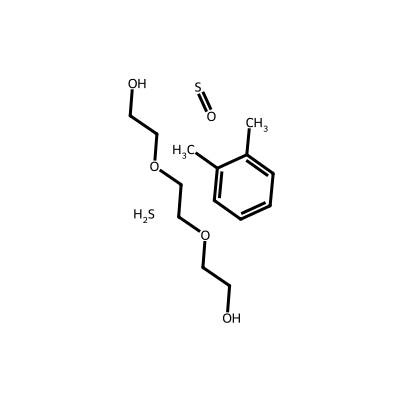 Cc1ccccc1C.O=S.OCCOCCOCCO.S